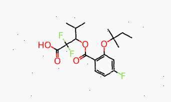 CCC(C)(C)Oc1cc(F)ccc1C(=O)OC(C(C)C)C(F)(F)C(=O)O